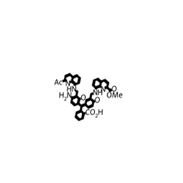 COC(=O)c1ccc2cccc(NCc3c4oc5c(CNc6cccc7ccc(C(C)=O)nc67)c(N)ccc5c(-c5ccccc5C(=O)O)c-4ccc3=O)c2n1